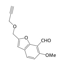 C#CCOCc1cc2ccc(OC)c(C=O)c2o1